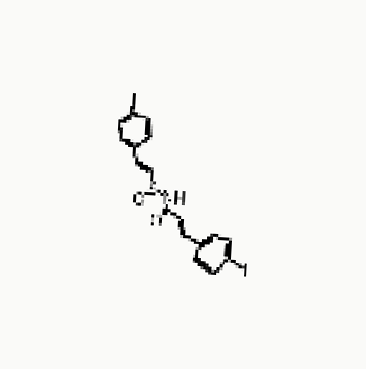 O=C(/C=C/c1ccc(I)cc1)N[S+]([O-])/C=C/c1ccc(I)cc1